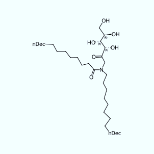 CCCCCCCCCCCCCCCCCCN(CC(=O)[C@@H](O)[C@H](O)[C@H](O)CO)C(=O)CCCCCCCCCCCCCCCCC